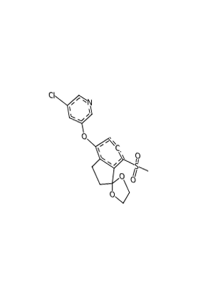 CS(=O)(=O)c1ccc(Oc2cncc(Cl)c2)c2c1C1(CC2)OCCO1